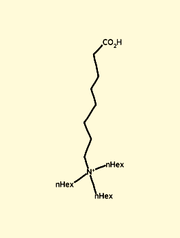 CCCCCC[N+](CCCCCC)(CCCCCC)CCCCCCCC(=O)O